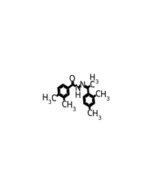 CC(=NNC(=O)c1ccc(C)c(C)c1)c1ccc(C)cc1C